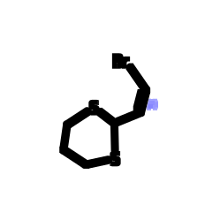 Br/C=C\C1SCCCS1